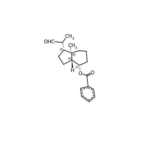 CC(C=O)[C@H]1CC[C@H]2[C@@H](OC(=O)c3ccccc3)CCC[C@]12C